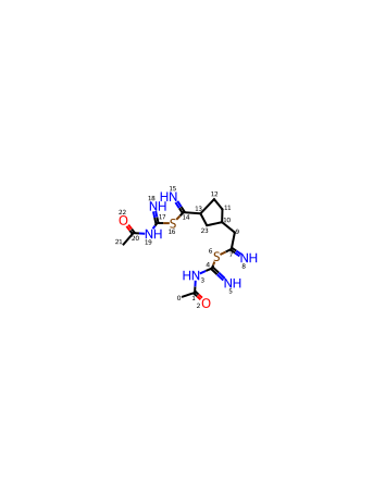 CC(=O)NC(=N)SC(=N)CC1CCC(C(=N)SC(=N)NC(C)=O)C1